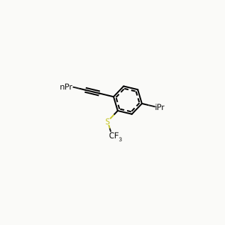 CCCC#Cc1ccc(C(C)C)cc1SC(F)(F)F